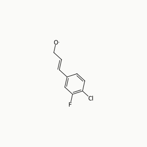 [O]CC=Cc1ccc(Cl)c(F)c1